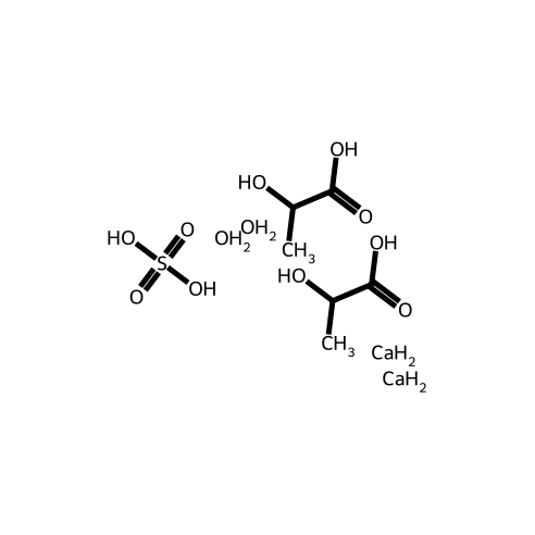 CC(O)C(=O)O.CC(O)C(=O)O.O.O.O=S(=O)(O)O.[CaH2].[CaH2]